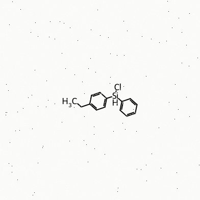 CCc1ccc([SiH](Cl)c2ccccc2)cc1